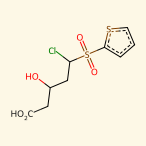 O=C(O)CC(O)CC(Cl)S(=O)(=O)c1cccs1